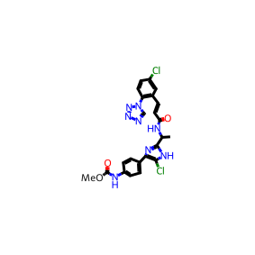 COC(=O)Nc1ccc(-c2nc(C(C)NC(=O)C=Cc3cc(Cl)ccc3-n3cnnn3)[nH]c2Cl)cc1